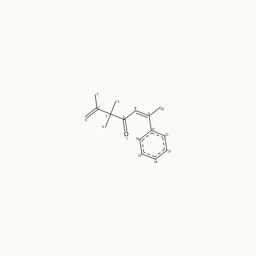 C=C(C)C(C)(C)C(=O)/C=C(/C)c1ccccc1